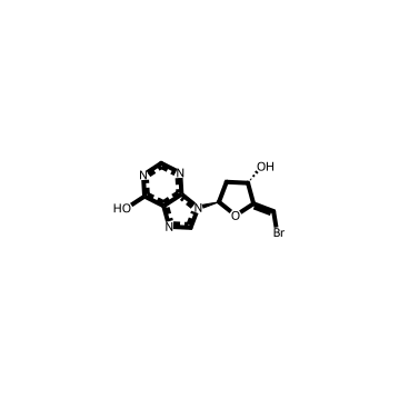 Oc1ncnc2c1ncn2[C@H]1C[C@H](O)C(=CBr)O1